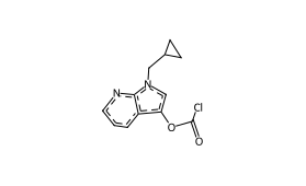 O=C(Cl)Oc1cn(CC2CC2)c2ncccc12